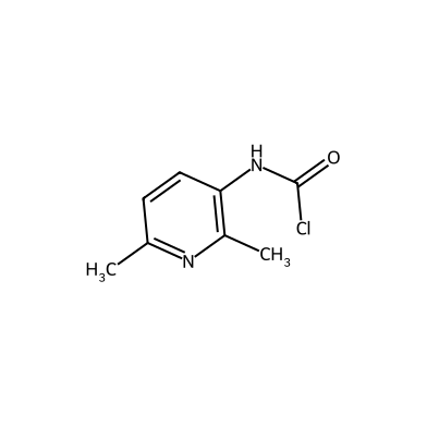 Cc1ccc(NC(=O)Cl)c(C)n1